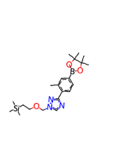 Cc1cc(B2OC(C)(C)C(C)(C)O2)ccc1-c1ncn(COCC[Si](C)(C)C)n1